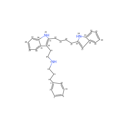 c1ccc(CCCNCCc2c(CCCCc3cc4ccccc4[nH]3)[nH]c3ccccc23)cc1